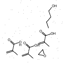 C1CO1.C=C(C)C(=O)O.C=C(C)C(=O)O.C=C(C)C(=O)O.CCCCO